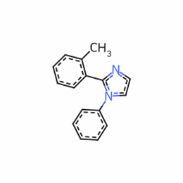 Cc1ccccc1-c1nccn1-c1ccccc1